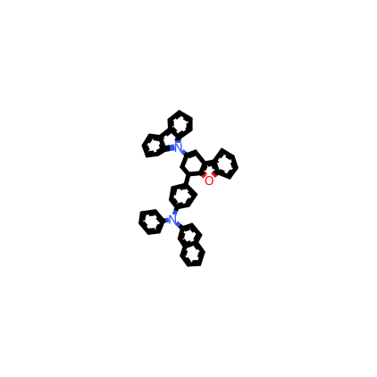 C1=C(n2c3ccccc3c3ccccc32)CC(c2ccc(N(c3ccccc3)c3ccc4ccccc4c3)cc2)c2oc3ccccc3c21